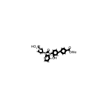 COC(=O)c1ccc(-c2ccc(-n3c(=O)n([C@H]4CCN(C(=O)O)C4)c4ncccc43)c(O)c2)cc1